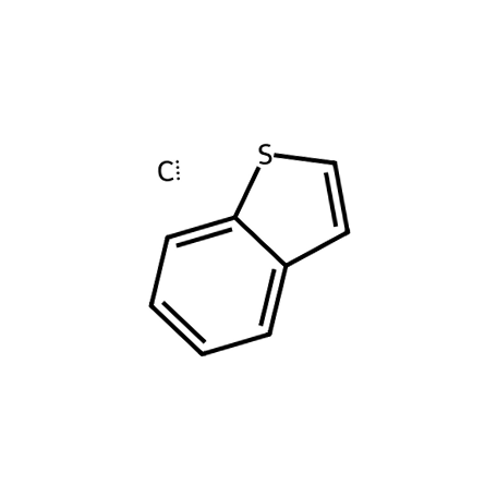 [C].c1ccc2sccc2c1